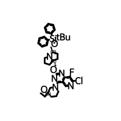 CC(C)(C)[Si](OC[C@H]1CC[C@@]2(COc3nc(N4CCC[C@]5(CCO5)C4)c4cnc(Cl)c(F)c4n3)CCCN12)(c1ccccc1)c1ccccc1